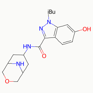 CCC(C)n1nc(C(=O)NC2CC3COCC(C2)N3)c2ccc(O)cc21